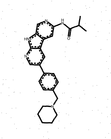 CC(C)C(=O)Nc1cc2c(cn1)[nH]c1ncc(-c3ccc(CN4CCCCC4)cc3)cc12